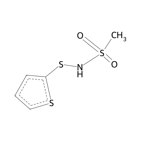 CS(=O)(=O)NSc1cccs1